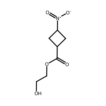 O=C(OCCO)C1CC([N+](=O)[O-])C1